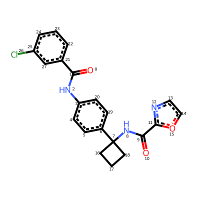 O=C(Nc1ccc(C2(NC(=O)c3ncco3)CCC2)cc1)c1cccc(Cl)c1